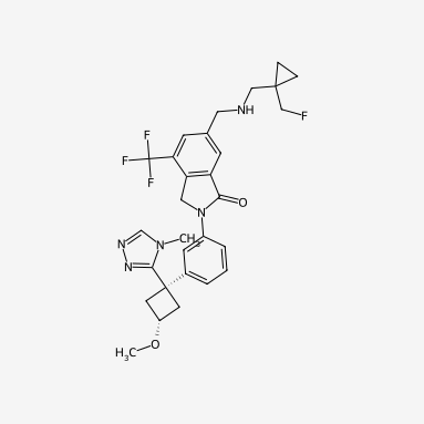 CO[C@H]1C[C@](c2cccc(N3Cc4c(cc(CNCC5(CF)CC5)cc4C(F)(F)F)C3=O)c2)(c2nncn2C)C1